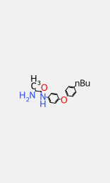 CCCCc1ccc(Oc2ccc(NC(=O)C(C)N)cc2)cc1